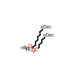 CCCCCCCCCCCCCCCC(=O)O.CCCCCCCCCCCCCCCCCC(=O)OCCCC